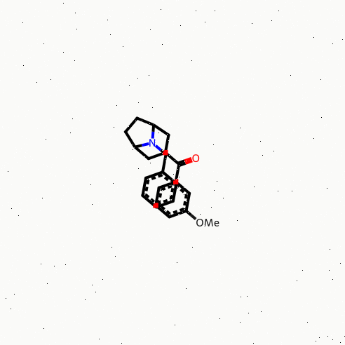 COc1cccc(C(=O)C2CC3CCC(C2)N3Cc2ccccc2)c1